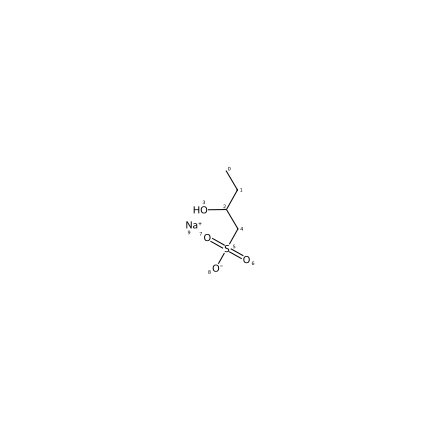 CCC(O)CS(=O)(=O)[O-].[Na+]